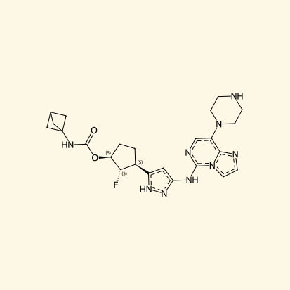 O=C(NC12CC(C1)C2)O[C@H]1CC[C@@H](c2cc(Nc3ncc(N4CCNCC4)c4nccn34)n[nH]2)[C@@H]1F